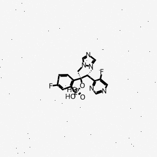 C[C@H](c1ncncc1F)[C@@](Cn1cncn1)(OP(=O)(O)O)c1ccc(F)cc1F